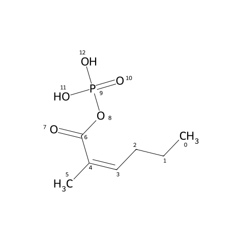 CCCC=C(C)C(=O)OP(=O)(O)O